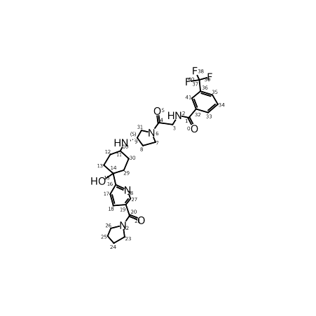 O=C(NCC(=O)N1CC[C@H](NC2CCC(O)(c3ccc(C(=O)N4CCCC4)cn3)CC2)C1)c1cccc(C(F)(F)F)c1